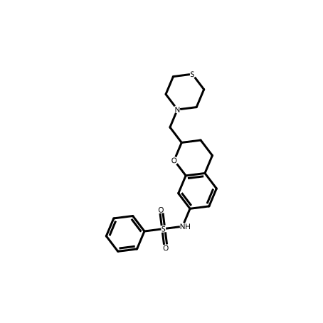 O=S(=O)(Nc1ccc2c(c1)OC(CN1CCSCC1)CC2)c1ccccc1